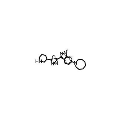 Cn1nc(-c2nnc(C3CCCNC3)o2)c2ccc(N3CCCCCCC3)nc21